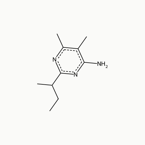 CCC(C)c1nc(C)c(C)c(N)n1